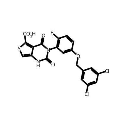 O=C(O)c1scc2[nH]c(=O)n(-c3cc(OCc4cc(Cl)cc(Cl)c4)ccc3F)c(=O)c12